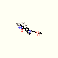 C=CC(=O)OCCCCN1c2ccc(C3C(=O)NC(=C(C#N)C#N)C3C#N)cc2CC1(C)C